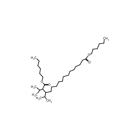 CCCCCCOC(=O)CCCCCCCCCCCCC(C(C)C)C(C(=O)OCCCCCC)C(C)C